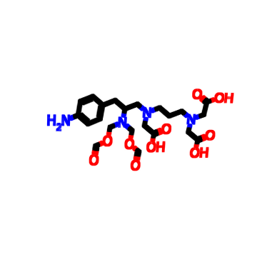 Nc1ccc(CC(CN(CCCN(CC(=O)O)CC(=O)O)CC(=O)O)N(COC=O)COC=O)cc1